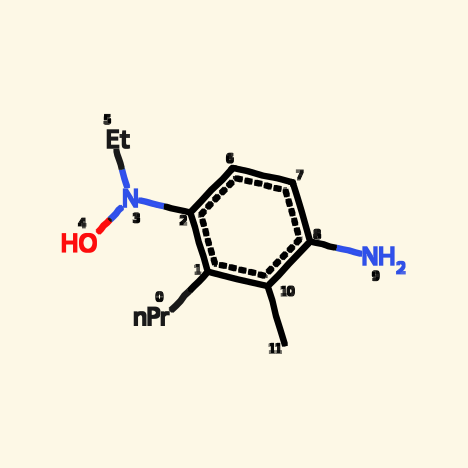 CCCc1c(N(O)CC)ccc(N)c1C